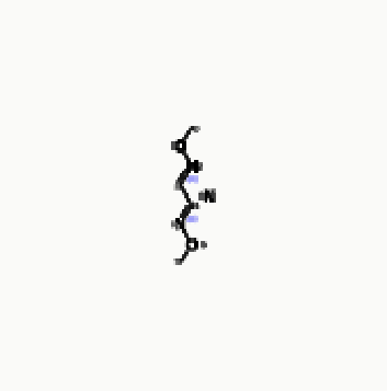 CO/N=C/C=N/OC.[Ni]